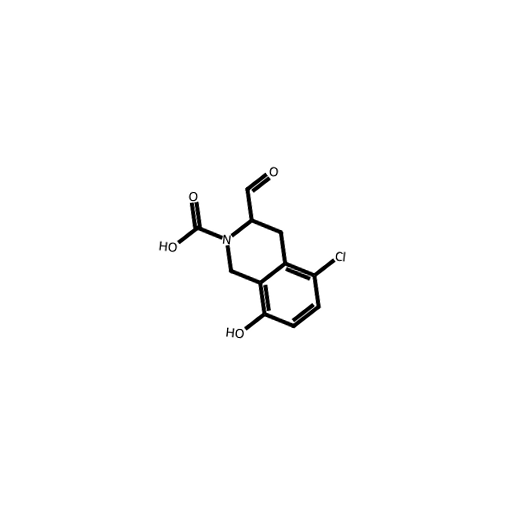 O=CC1Cc2c(Cl)ccc(O)c2CN1C(=O)O